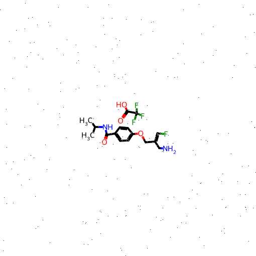 CC(C)NC(=O)c1ccc(OCC(=CF)CN)cc1.O=C(O)C(F)(F)F